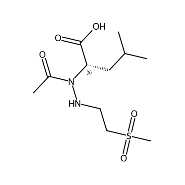 CC(=O)N(NCCS(C)(=O)=O)[C@@H](CC(C)C)C(=O)O